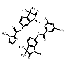 CN1C(=O)C(C)(C)c2ccc(NC(=O)c3nccn3C)cc21.Cc1cc(C(=O)Nc2ccc3c(c2)N(C)C(=O)C3(C)C)nc(C)n1